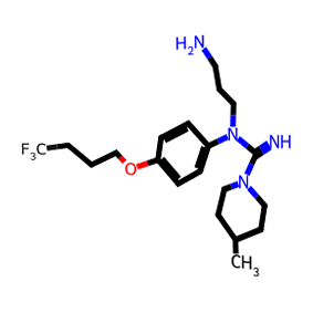 CC1CCN(C(=N)N(CCCN)c2ccc(OCCCC(F)(F)F)cc2)CC1